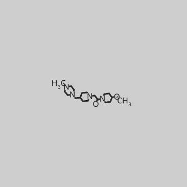 COC1CCN(C(=O)CN2CCC(CN3CCN(C)CC3)CC2)CC1